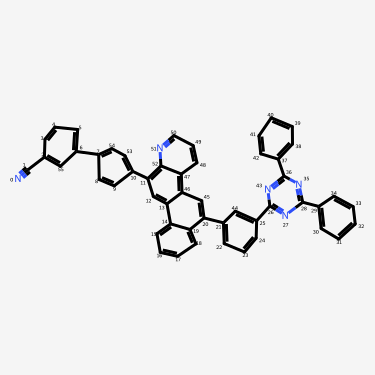 N#Cc1cccc(-c2ccc(-c3cc4c5ccccc5c(-c5cccc(-c6nc(-c7ccccc7)nc(-c7ccccc7)n6)c5)cc4c4cccnc34)cc2)c1